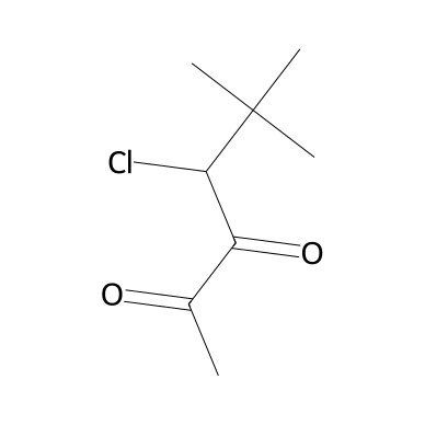 CC(=O)C(=O)C(Cl)C(C)(C)C